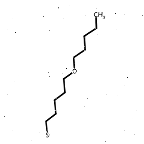 CCCCCOCCCCC[S]